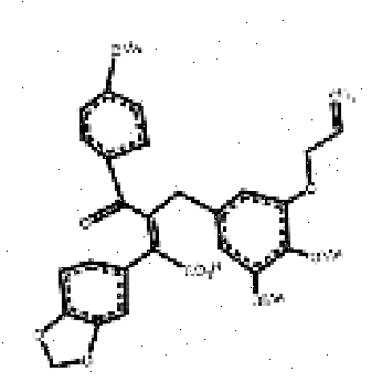 C=CCOc1cc(CC(C(=O)c2ccc(OC)cc2)=C(C(=O)O)c2ccc3c(c2)OCO3)cc(OC)c1OC